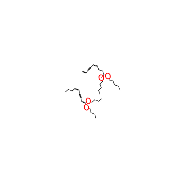 C=CC#C/C=C\CCC(OCCCCC)OCCCCC.CCC/C=C\C#CC=C(OCCCC)OCCCC